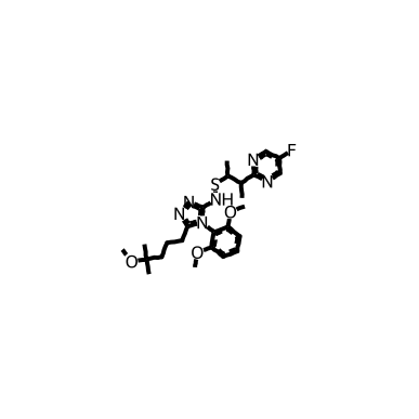 COc1cccc(OC)c1-n1c(CCCC(C)(C)OC)nnc1NSC(C)C(C)c1ncc(F)cn1